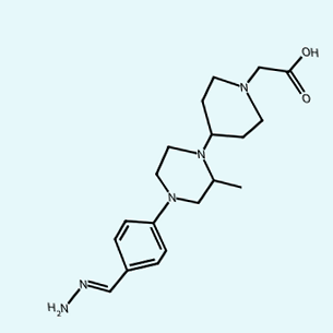 CC1CN(c2ccc(C=NN)cc2)CCN1C1CCN(CC(=O)O)CC1